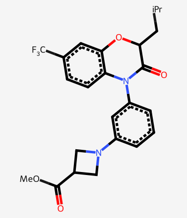 COC(=O)C1CN(c2cccc(N3C(=O)C(CC(C)C)Oc4cc(C(F)(F)F)ccc43)c2)C1